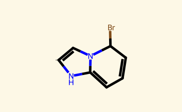 BrC1C=CC=C2N[C]=CN21